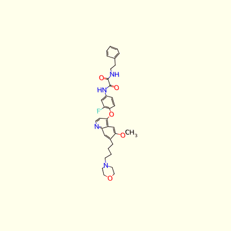 COc1cc2c(Oc3ccc(NC(=O)C(=O)NCCc4ccccc4)cc3F)ccnc2cc1CCCCN1CCOCC1